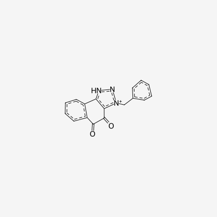 O=C1C(=O)c2c([nH]n[n+]2Cc2ccccc2)-c2ccccc21